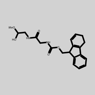 COC(O)CNC(=O)CNC(=O)OCC1C2=C(CCC=C2)c2ccccc21